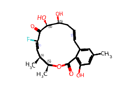 Cc1cc(O)c2c(c1)/C=C/C[C@H](O)[C@H](O)C(=O)/C(F)=C\[C@H](C)[C@H](C)OC2=O